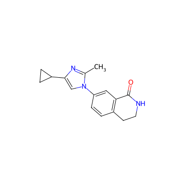 Cc1nc(C2CC2)cn1-c1ccc2c(c1)C(=O)NCC2